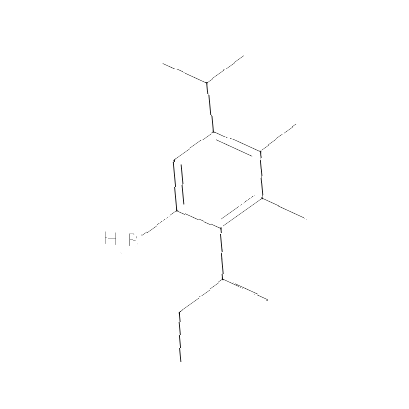 Bc1cc(C(C)C)c(C)c(C)c1C(C)CC